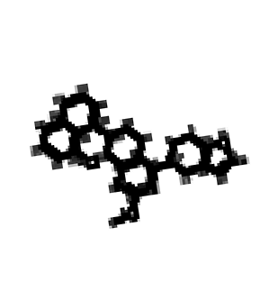 COc1nc2c(c(N3CCc4oncc4C3)n1)CCN(c1cccc3cccc(Cl)c13)C2